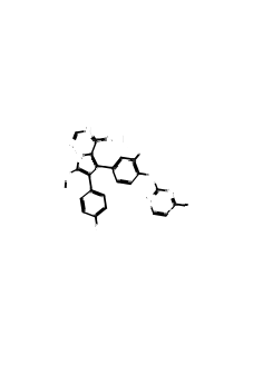 COc1c(-c2ccc(N)cc2)c(-c2ccc(Oc3nccc(C)n3)c(F)c2)c2c(N)ncnn12